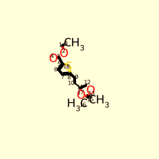 CCOC(=O)c1ccc(CC[C@H]2COC(C)(C)O2)s1